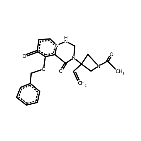 C=CC1(N2CNn3ccc(=O)c(OCc4ccccc4)c3C2=O)CN(C(C)=O)C1